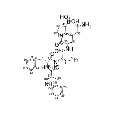 CC(C)C[C@@H](NC(=O)[C@@H](Cc1ccccc1)NC(=O)[C@H](CN)Cc1ccccc1)C(=O)N[C@H](CCCCN)C(=O)N1CCC(B(O)O)C1